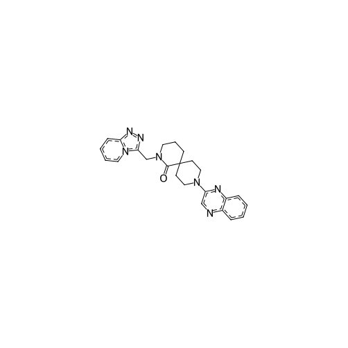 O=C1N(Cc2nnc3ccccn23)CCCC12CCN(c1cnc3ccccc3n1)CC2